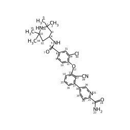 CC1(C)CC(NC(=O)c2ccc(Oc3cccc(-c4ccc(C(N)=O)nc4)c3C#N)c(Cl)c2)CC(C)(C)N1